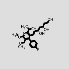 COCc1c(OC)nc(C(C)C)c(/C=C/[C@@H](O)C[C@@H](O)CCO)c1-c1ccc(F)cc1